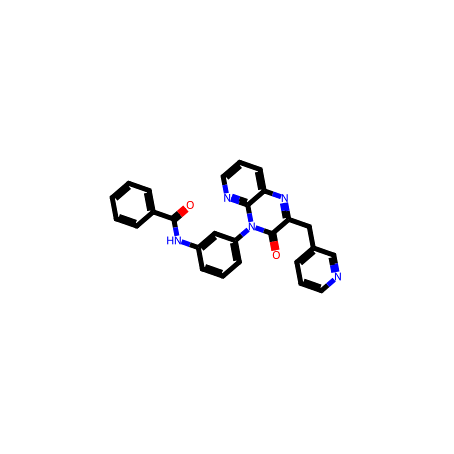 O=C(Nc1cccc(-n2c(=O)c(Cc3cccnc3)nc3cccnc32)c1)c1ccccc1